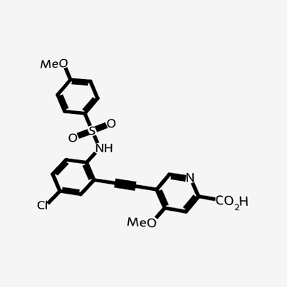 COc1ccc(S(=O)(=O)Nc2ccc(Cl)cc2C#Cc2cnc(C(=O)O)cc2OC)cc1